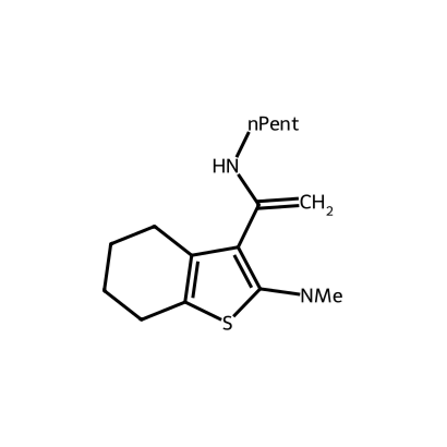 C=C(NCCCCC)c1c(NC)sc2c1CCCC2